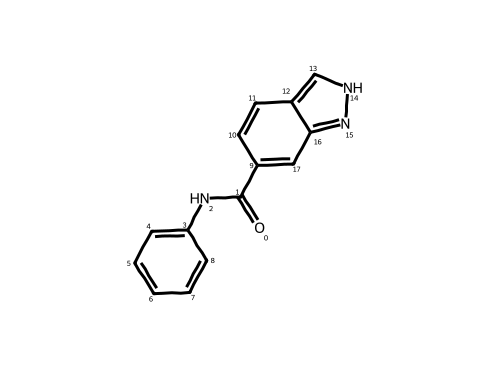 O=C(Nc1ccccc1)c1ccc2c[nH]nc2c1